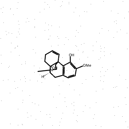 COc1ccc2c(c1O)C13C=CCC[C@]1(O)[C@H](C2)N(C)CC3